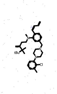 C=C/C=C\c1ccc(CN2CCN(c3cccc(C)c3Cl)CC2)cc1N(C)CCC(=C)C(C)(C)C(C)(C)C